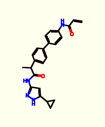 C=CC(=O)Nc1ccc(-c2ccc(C(C)C(=O)Nc3cc(C4CC4)[nH]n3)cc2)cc1